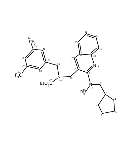 CCCN(CC1CCCC1)c1nc2ccccc2cc1CN(Cc1cc(C(F)(F)F)cc(C(F)(F)F)c1)C(=O)OCC